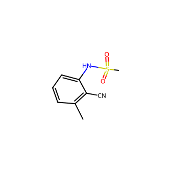 Cc1cccc(NS(C)(=O)=O)c1C#N